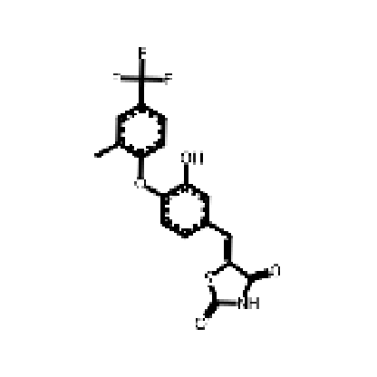 Cc1cc(C(F)(F)F)ccc1Oc1ccc(/C=C2\SC(=O)NC2=O)cc1O